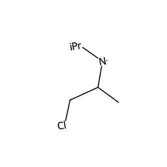 CC(C)[N]C(C)CCl